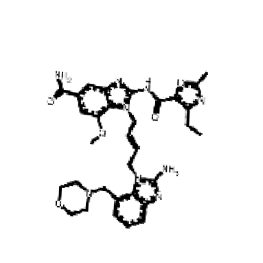 CCc1nc(C)oc1C(=O)Nc1nc2cc(C(N)=O)cc(OC)c2n1C/C=C/Cn1c(N)nc2cccc(CN3CCOCC3)c21